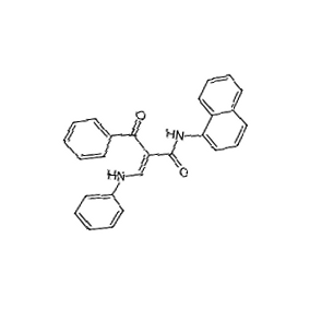 O=C(Nc1cccc2ccccc12)/C(=C/Nc1ccccc1)C(=O)c1ccccc1